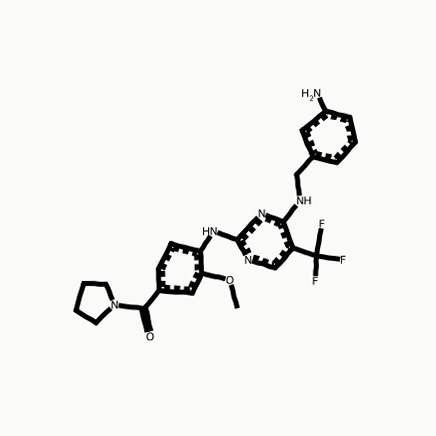 COc1cc(C(=O)N2CCCC2)ccc1Nc1ncc(C(F)(F)F)c(NCc2cccc(N)c2)n1